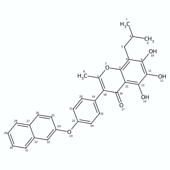 Cc1oc2c(CC(C)C)c(O)c(O)c(O)c2c(=O)c1-c1ccc(Oc2ccc3ccccc3c2)cc1